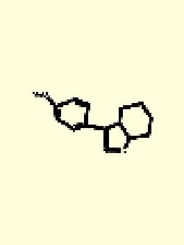 COc1ccc(C2=NOC3CCCCC23)cc1